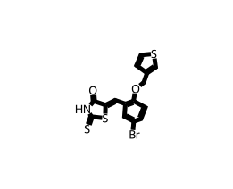 O=C1NC(=S)S/C1=C\c1cc(Br)ccc1OCc1ccsc1